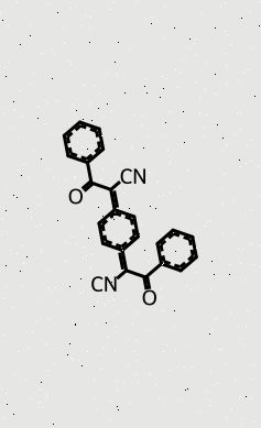 [C-]#[N+]C(C(=O)c1ccccc1)=c1ccc(=C(C#N)C(=O)c2ccccc2)cc1